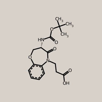 CC(C)(C)OC(=O)N[C@H]1COc2ccccc2N(CCC(=O)O)C1=O